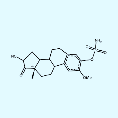 COc1cc2c(cc1OS(N)(=O)=O)CCC1C2CC[C@]2(C)C(=O)C(C#N)CC12